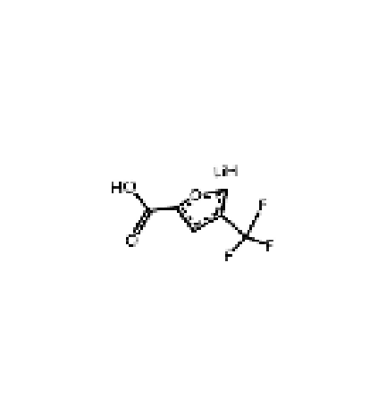 O=C(O)c1cc(C(F)(F)F)co1.[LiH]